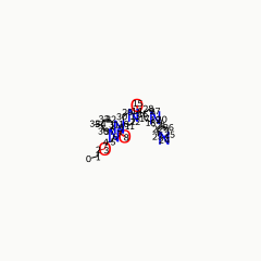 CCCOCCn1c(=O)n(C2CCN(C(=O)C3CCN(Cc4ccncc4)CC3)CC2)c2ccc(C)cc21